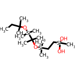 CCC(C)(C)O[Si](C)(C)C(C)(C)O[Si](C)(C)CC[Si](C)(O)O